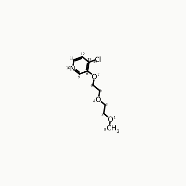 COCCOCCOc1cnccc1Cl